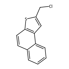 ClCc1cc2c(ccc3ccccc32)s1